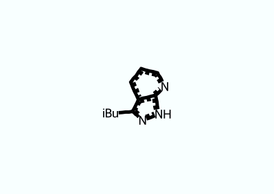 CCC(C)c1n[nH]c2ncccc12